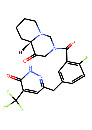 O=C1CN(C(=O)c2cc(Cc3cc(C(F)(F)F)c(=O)[nH]n3)ccc2F)CN2CCCC[C@@H]12